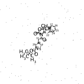 CC(C)(C)OC(=O)N1CC[C@H](CC(=O)N2C(=O)OC(C)(C)[C@@H]2Cc2ccccc2)C1